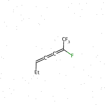 CCC=C=C=C(F)C(F)(F)F